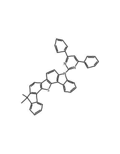 CC1(C)c2ccccc2-c2c1ccc1c2sc2c1ccc1c2c2ccccc2n1-c1nc(-c2ccccc2)cc(-c2ccccc2)n1